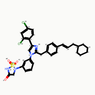 O=C1CN(c2cccc(-n3cc(-c4ccc(Cl)cc4Cl)nc3Cc3ccc(C=CCC4CCCCC4)cc3)c2)S(=O)(=O)N1